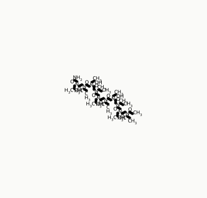 CCC(=O)N(CC(=O)N(CC(=O)N(CC(=O)N(CC(=O)N(CC(=O)N(CC(=O)N(CC(=O)N(CC(=O)N(CC(=O)N(CC(N)=O)CC(C)O)C(C)CC)CC(C)O)C(C)CC)CC(C)O)C(C)CC)CC(C)O)C(C)CC)CC(C)O)C(C)CC